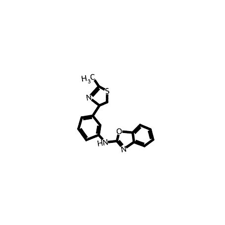 CC1=NC(c2cccc(Nc3nc4ccccc4o3)c2)CS1